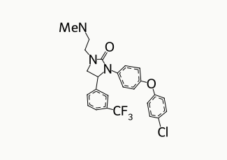 CNCCN1CC(c2cccc(C(F)(F)F)c2)N(c2ccc(Oc3ccc(Cl)cc3)cc2)C1=O